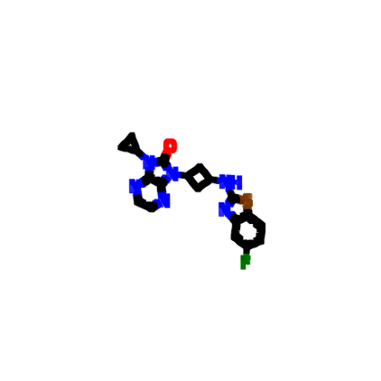 O=c1n(C2CC2)c2nccnc2n1C1CC(Nc2nc3cc(F)ccc3s2)C1